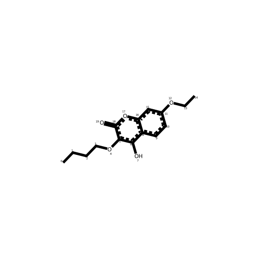 CCCCOc1c(O)c2ccc(OCC)cc2oc1=O